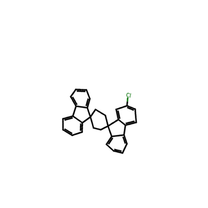 Clc1ccc2c(c1)C1(CCC3(CC1)c1ccccc1-c1ccccc13)c1ccccc1-2